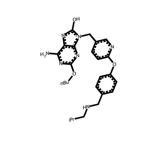 CCCCOc1nc(N)c2nc(O)n(Cc3ccc(Oc4ccc(CNCC(C)C)cc4)nc3)c2n1